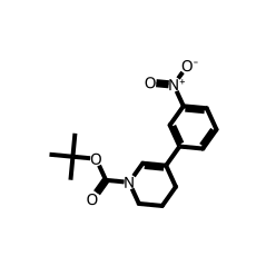 CC(C)(C)OC(=O)N1C=C(c2cccc([N+](=O)[O-])c2)CCC1